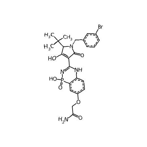 CC(C)(C)C1C(O)=C(C2=NP(=O)(O)c3cc(OCC(N)=O)ccc3N2)C(=O)N1Cc1cccc(Br)c1